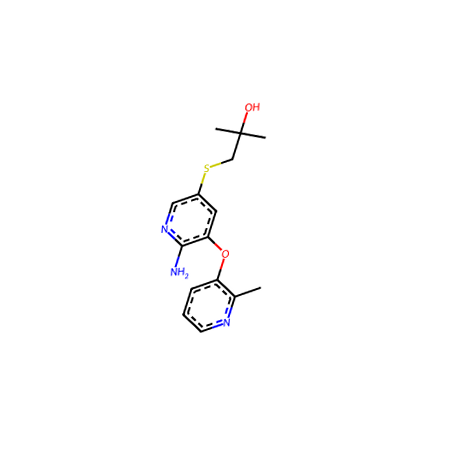 Cc1ncccc1Oc1cc(SCC(C)(C)O)cnc1N